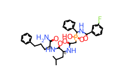 CC(C)C[C@H](NC(=O)CP(=O)(O)C(NC(=O)c1cccc(F)c1)c1ccccc1)C(=O)N[C@@H](CCCc1ccccc1)C(N)=O